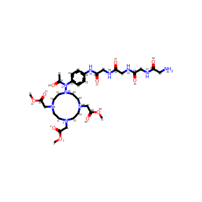 COC(=O)CN1CCN(CC(=O)OC)CCN(N(C(C)=O)c2ccc(NC(=O)CNC(=O)CNC(=O)CNC(=O)CN)cc2)CCN(CC(=O)OC)CC1